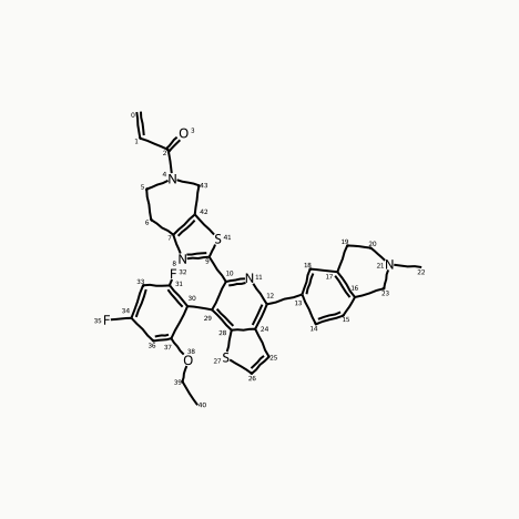 C=CC(=O)N1CCc2nc(-c3nc(-c4ccc5c(c4)CCN(C)C5)c4ccsc4c3-c3c(F)cc(F)cc3OCC)sc2C1